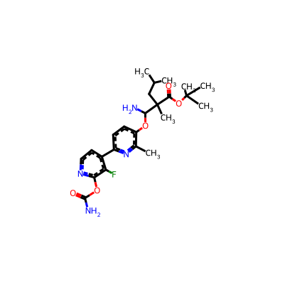 Cc1nc(-c2ccnc(OC(N)=O)c2F)ccc1OC(N)C(C)(CC(C)C)C(=O)OC(C)(C)C